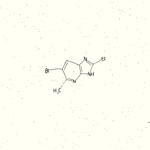 CCc1nc2cc(Br)c(C)nc2[nH]1